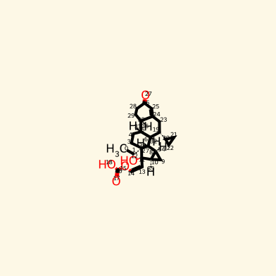 CC[C@]12CC[C@H]3[C@H]([C@@H]1[C@H]1C[C@H]1[C@@]2(O)/C=C\OC(=O)O)[C@@H](C1CC1)CC1=CC(=O)CC[C@@H]13